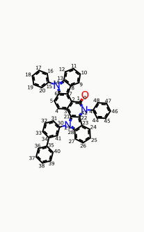 O=c1c2c(ccc3c2c2ccccc2n3-c2ccccc2)c2c(c3ccccc3n2-c2cccc(-c3ccccc3)c2)n1-c1ccccc1